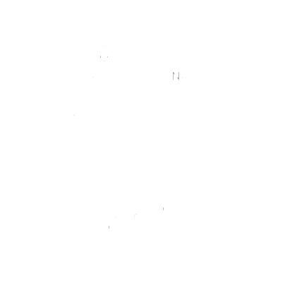 Cc1ccc(C2=C(c3ccc(S(C)(=O)=O)cc3)CCC2=O)cn1